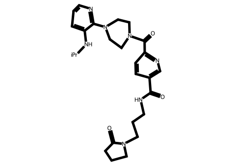 CC(C)Nc1cccnc1N1CCN(C(=O)c2ccc(C(=O)NCCCN3CCCC3=O)cn2)CC1